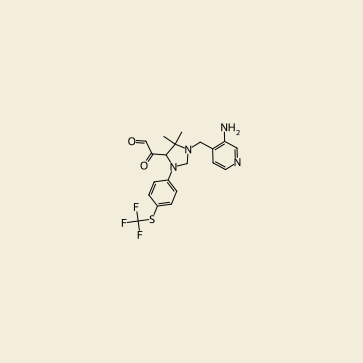 CC1(C)C(C(=O)C=O)N(c2ccc(SC(F)(F)F)cc2)CN1Cc1ccncc1N